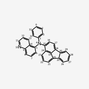 c1ccc(N(c2cccc3ncccc23)c2ccc3c4c(cccc24)-c2ccccc2-3)cc1